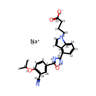 CC(C)Oc1ccc(-c2nc(-c3cccc4c3ccn4CCCC(=O)[O-])no2)cc1C#N.[Na+]